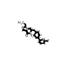 CCc1ncc2c(=O)n(C)c(Cc3ccc(-c4cccc(F)n4)cc3)cn12